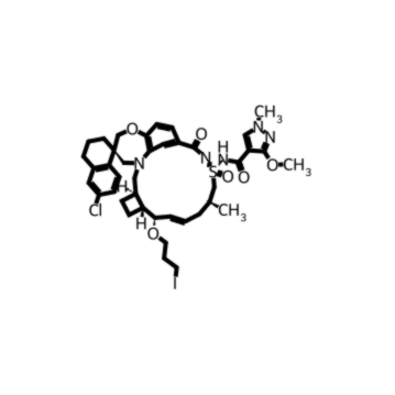 COc1nn(C)cc1C(=O)N[S@@]1(=O)=NC(=O)c2ccc3c(c2)N(C[C@@H]2CC[C@H]2[C@@H](OCCCI)/C=C/C[C@H](C)C1)C[C@@]1(CCCc2cc(Cl)ccc21)CO3